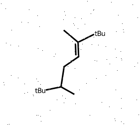 CC(=CCC(C)C(C)(C)C)C(C)(C)C